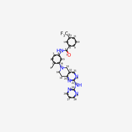 Cc1ccc(NC(=O)c2cccc(C(F)(F)F)c2)cc1N1CCc2nc(Nc3ncccn3)ncc2C1